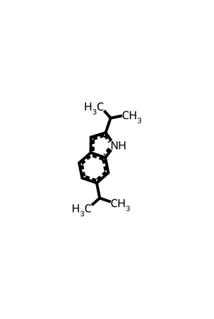 CC(C)c1ccc2cc(C(C)C)[nH]c2c1